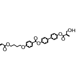 C=CC(=O)OCCCCOc1ccc(C(=O)Oc2ccc(-c3ccc(OC(=O)C(=C)CO)cc3)cc2)cc1